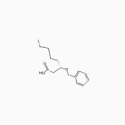 CCCCC[C@@H](CC(=O)O)OCc1ccccc1